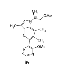 COC[C@H](C)n1cc(C)c2nc(-c3ccc(C(C)C)nc3OC)c(C)c(C)c21